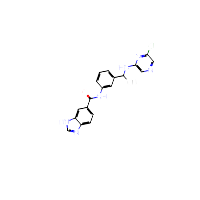 CC(Nc1cncc(Cl)n1)c1cccc(NC(=O)c2ccc3nc[nH]c3c2)c1